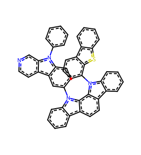 c1ccc(-n2c3ccc(-n4c5ccccc5c5ccc6c7ccccc7n(-c7cccc8c7sc7ccccc78)c6c54)cc3c3ccncc32)cc1